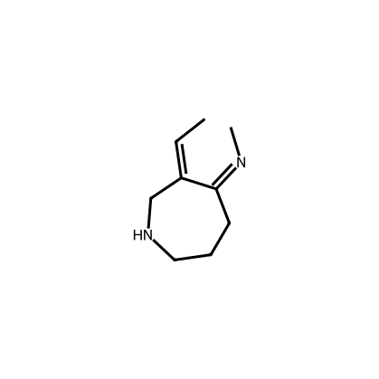 C/C=C1/CNCCC/C1=N/C